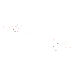 O=C(O)c1cc(=O)c2c(OCC(O)COCCCCOCC(O)COc3cccc4oc(C(=O)O)cc(=O)c34)cccc2o1